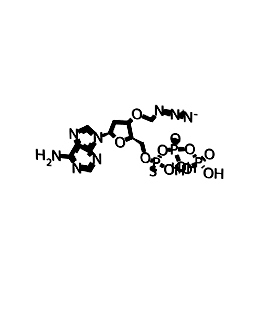 [N-]=[N+]=NCOC1C[C@H](n2cnc3c(N)ncnc32)O[C@@H]1COP(O)(=S)OP(=O)(O)OP(=O)(O)O